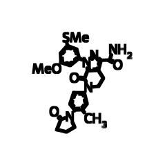 COc1cc(SC)cc(-n2nc(C(N)=O)c3c2C(=O)N(c2ccc(N4CCCC4=O)c(C)c2)CC3)c1